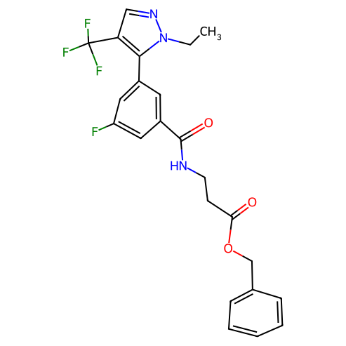 CCn1ncc(C(F)(F)F)c1-c1cc(F)cc(C(=O)NCCC(=O)OCc2ccccc2)c1